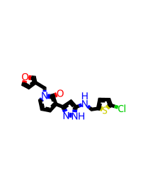 O=c1c(-c2cc(NCc3ccc(Cl)s3)[nH]n2)cccn1Cc1ccoc1